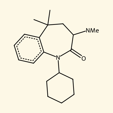 CNC1CC(C)(C)c2ccccc2N(C2CCCCC2)C1=O